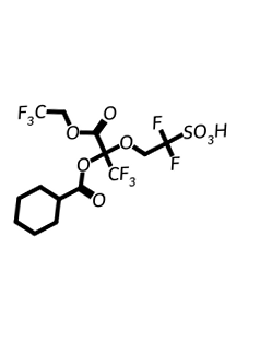 O=C(OC(OCC(F)(F)S(=O)(=O)O)(C(=O)OCC(F)(F)F)C(F)(F)F)C1CCCCC1